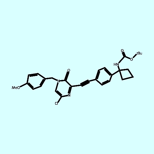 COc1ccc(Cn2cc(Cl)nc(C#Cc3ccc(C4(NC(=O)OC(C)(C)C)CCC4)cc3)c2=O)cc1